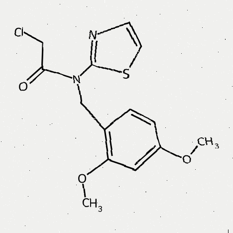 COc1ccc(CN(C(=O)CCl)c2nccs2)c(OC)c1